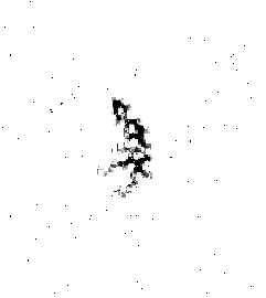 CCOC(=O)c1cn(Cc2ccc(N3CC4CC4C3)nc2C)nc1COC